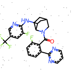 O=C(c1c(F)cccc1-c1ncccn1)N1CC2CCC1C(Nc1ncc(C(F)(F)F)cc1F)C2